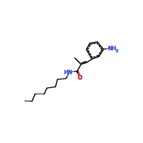 CCCCCCCCNC(=O)/C(C)=C/c1cccc(N)c1